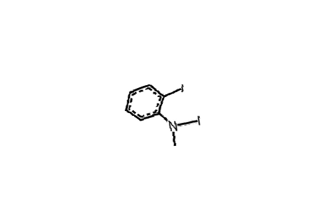 CN(I)c1ccccc1I